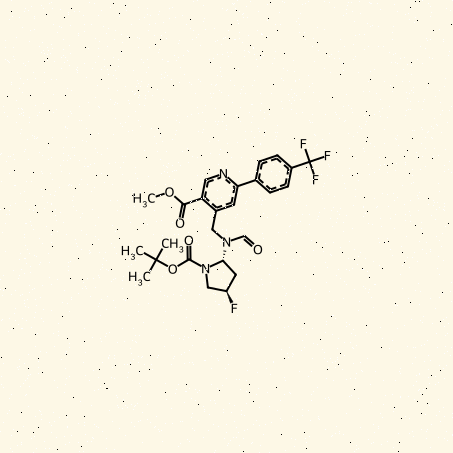 COC(=O)c1cnc(-c2ccc(C(F)(F)F)cc2)cc1CN(C=O)[C@@H]1C[C@@H](F)CN1C(=O)OC(C)(C)C